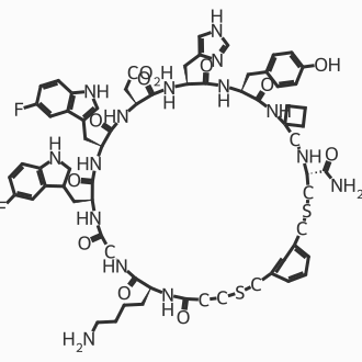 NCCCC[C@@H]1NC(=O)CCSCc2cccc(c2)CSC[C@@H](C(N)=O)NCC2(CCC2)NC(=O)[C@H](Cc2ccc(O)cc2)NC(=O)[C@H](Cc2c[nH]cn2)NC(=O)[C@H](CC(=O)O)NC(=O)[C@H](Cc2c[nH]c3ccc(F)cc23)NC(=O)[C@H](CC2CNc3ccc(F)cc32)NC(=O)CNC1=O